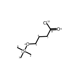 C[Si](C)(C)OCCCC(=O)Cl